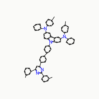 Cc1ccc(N(c2ccccc2)c2ccc3c(c2)c2cc(N(c4ccccc4)c4ccc(C)cc4)ccc2n3-c2ccc(-c3ccc(-c4cc(-c5cccc(C)c5)nc(-c5cccc(C)c5)n4)cc3)cc2)cc1